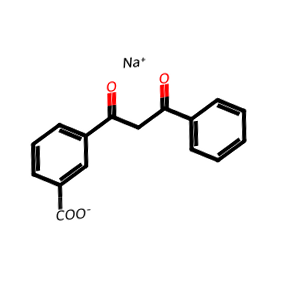 O=C([O-])c1cccc(C(=O)CC(=O)c2ccccc2)c1.[Na+]